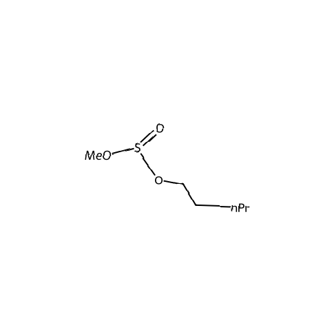 CCCCCOS(=O)OC